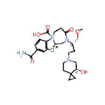 COC[C@H](CCN1CCC2(CC2)[C@H](O)C1)N1C[C@@H](C)[N+](C(=O)O)(c2ccc(C(N)=O)cc2Cl)CCC1=O